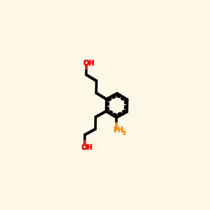 OCCCc1cccc(P)c1CCCO